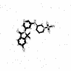 CC(C)S(=O)(=O)N1CCC[C@@H](Nc2cncc(N3C(=O)c4ccc(Cl)cc4C3(C)C)c2)C1